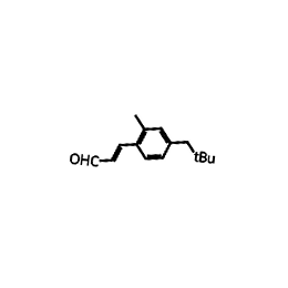 Cc1cc(CC(C)(C)C)ccc1/C=C/C=O